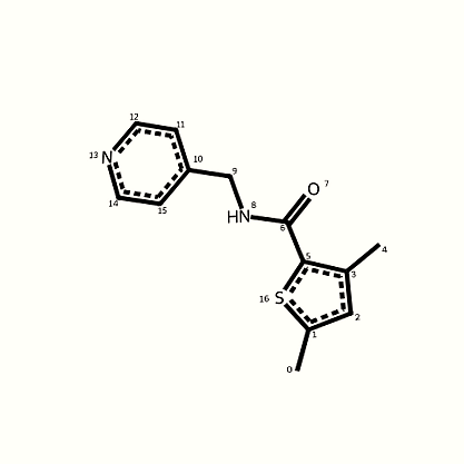 Cc1cc(C)c(C(=O)NCc2ccncc2)s1